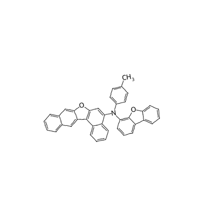 Cc1ccc(N(c2cc3oc4cc5ccccc5cc4c3c3ccccc23)c2cccc3c2oc2ccccc23)cc1